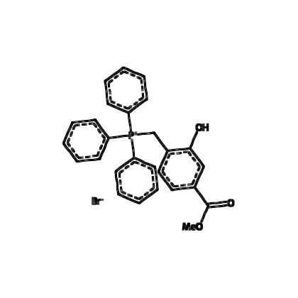 COC(=O)c1ccc(C[P+](c2ccccc2)(c2ccccc2)c2ccccc2)c(O)c1.[Br-]